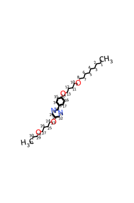 CCCCCCCCCOCCCCOc1ccc(-c2ncc(OCCCCOCCC)cn2)cc1